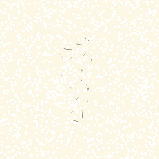 CCOCc1nc2c(N)nc3ccccc3c2n1[C@](O)(CC)CO[P@@](=O)(N[C@H](C(=O)OC(C)(C)C)C(C)C)Oc1ccc2ccccc2c1